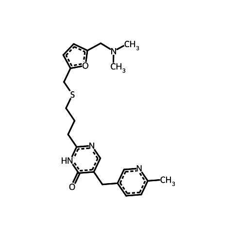 Cc1ccc(Cc2cnc(CCCSCc3ccc(CN(C)C)o3)[nH]c2=O)cn1